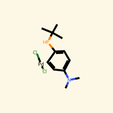 CN(C)c1ccc(PC(C)(C)C)cc1.[Cl][Pd][Cl]